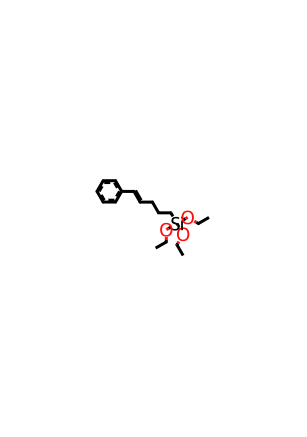 CCO[Si](CCCC=Cc1ccccc1)(OCC)OCC